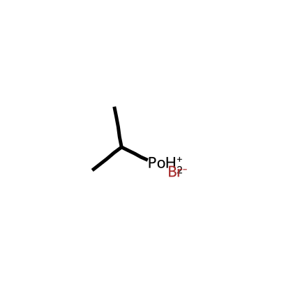 C[CH](C)[PoH2+].[Br-]